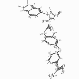 Cc1ccc2cc(-n3nc(C(C)(C)C)cc3NC(=O)Nc3ccc(Oc4ccnc(C(N)=O)c4)cc3F)ccc2n1